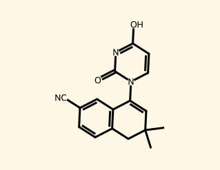 CC1(C)C=C(n2ccc(O)nc2=O)c2cc(C#N)ccc2C1